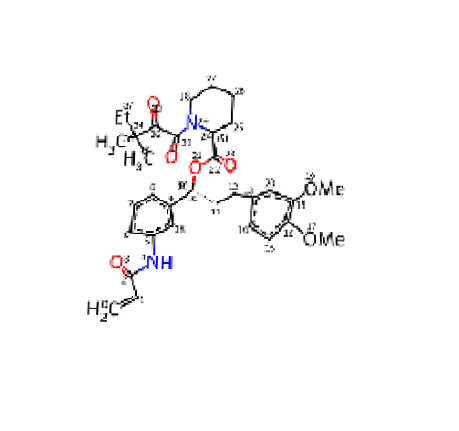 C=CC(=O)Nc1cccc([C@@H](CCc2ccc(OC)c(OC)c2)OC(=O)[C@@H]2CCCCN2C(=O)C(=O)C(C)(C)CC)c1